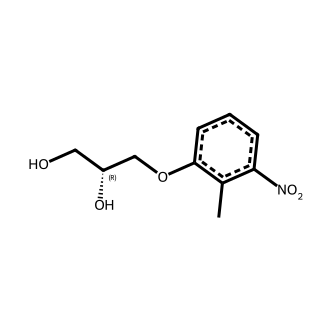 Cc1c(OC[C@H](O)CO)cccc1[N+](=O)[O-]